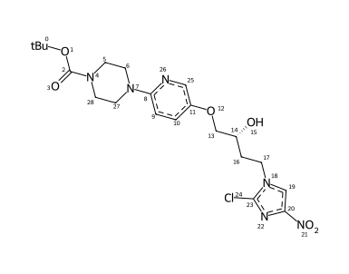 CC(C)(C)OC(=O)N1CCN(c2ccc(OC[C@H](O)CCn3cc([N+](=O)[O-])nc3Cl)cn2)CC1